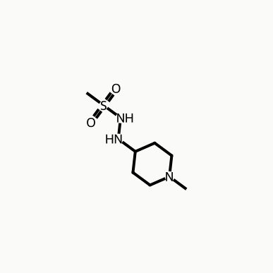 CN1CCC(NNS(C)(=O)=O)CC1